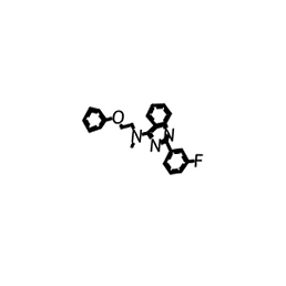 CN(CCOc1ccccc1)c1nc(-c2cccc(F)c2)nc2ccccc12